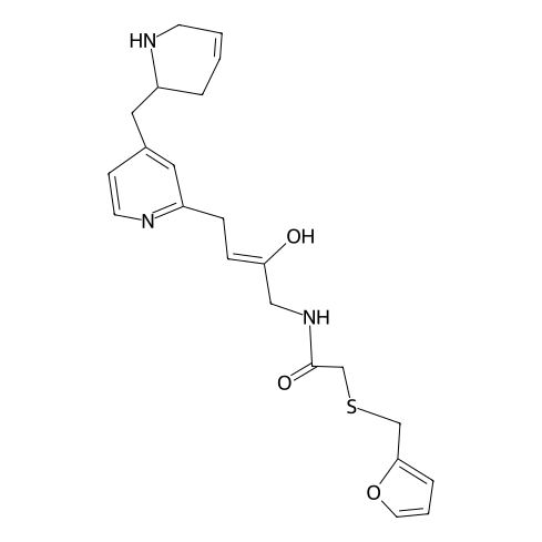 O=C(CSCc1ccco1)NCC(O)=CCc1cc(CC2CC=CCN2)ccn1